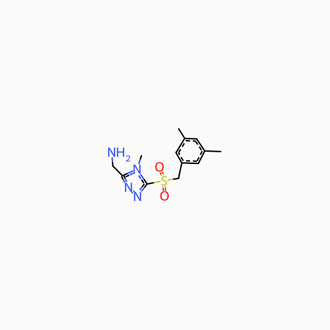 Cc1cc(C)cc(CS(=O)(=O)c2nnc(CN)n2C)c1